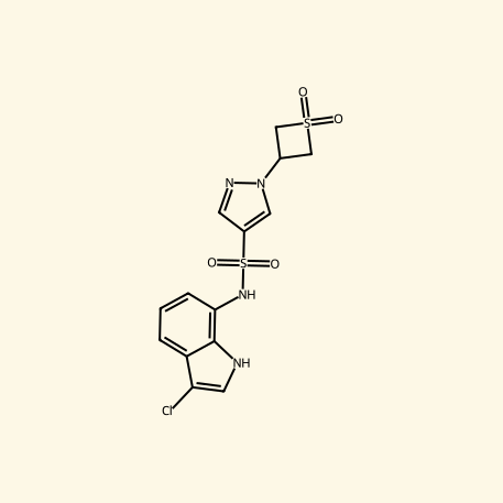 O=S1(=O)CC(n2cc(S(=O)(=O)Nc3cccc4c(Cl)c[nH]c34)cn2)C1